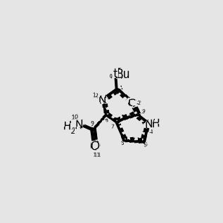 CC(C)(C)c1cc2[nH]ccc2c(C(N)=O)n1